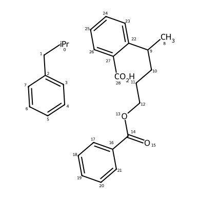 CC(C)Cc1ccccc1.CC(CCCOC(=O)c1ccccc1)c1ccccc1C(=O)O